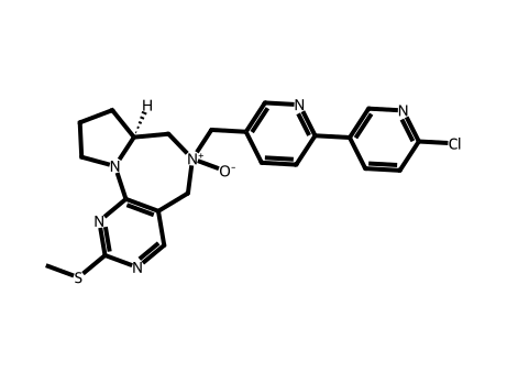 CSc1ncc2c(n1)N1CCC[C@H]1C[N+]([O-])(Cc1ccc(-c3ccc(Cl)nc3)nc1)C2